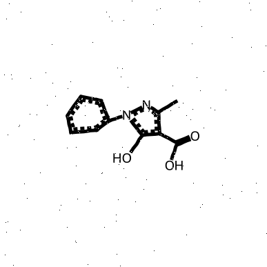 Cc1nn(-c2ccccc2)c(O)c1C(=O)O